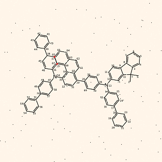 CC1(C)c2ccccc2-c2ccc(N(c3ccc(-c4ccccc4)cc3)c3ccc(-c4ccc(N(C5=CCC(c6ccccc6)C=C5)c5ccc(-c6ccccc6)cc5)c5c4ccc4ccccc45)cc3)cc21